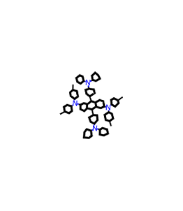 Cc1ccc(N(c2ccc(C)cc2)c2ccc3c(-c4ccc(N(c5ccccc5)c5ccccc5)cc4)c4cc(N(c5ccc(C)cc5)c5ccc(C)cc5)ccc4c(-c4ccc(N(c5ccccc5)c5ccccc5)cc4)c3c2)cc1